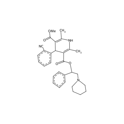 COC(=O)C1=C(C)NC(C)=C(C(=O)OC(CN2CCCCC2)c2ccccc2)C1c1ccccc1C#N